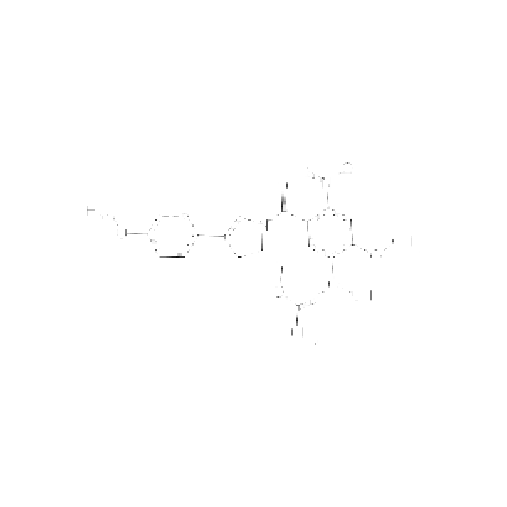 COc1ccc(C2=CN(C(=O)c3cc(OC)c(OC)cc3[N+](=O)[O-])[C@H](COC(C)=O)C2)cc1